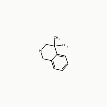 CC1(C)C[N]Cc2ccccc21